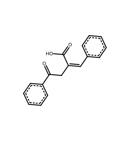 O=C(O)C(=Cc1ccccc1)CC(=O)c1ccccc1